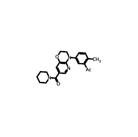 CC(=O)c1cc(N2CCOc3cc(C(=O)N4CCCCC4)cnc32)ccc1C